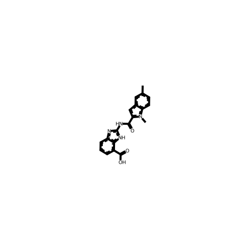 Cc1ccc2c(c1)cc(C(=O)Nc1nc3cccc(C(=O)O)c3[nH]1)n2C